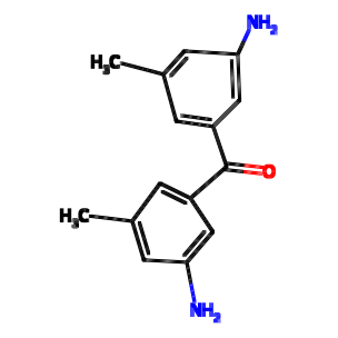 Cc1cc(N)cc(C(=O)c2cc(C)cc(N)c2)c1